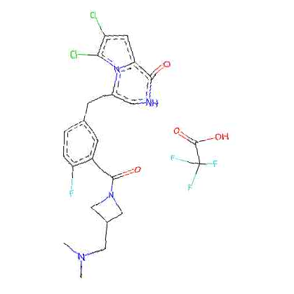 CN(C)CC1CN(C(=O)c2cc(Cc3c[nH]c(=O)c4cc(Cl)c(Cl)n34)ccc2F)C1.O=C(O)C(F)(F)F